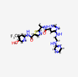 CC(NC(=O)c1cc(NCCNc2cnccn2)ncn1)c1ncc(C(=O)Nc2cc(C(F)(F)F)c(O)cn2)s1